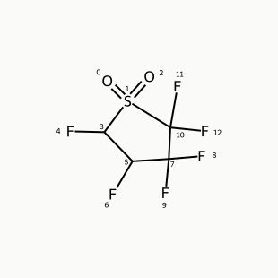 O=S1(=O)C(F)C(F)C(F)(F)C1(F)F